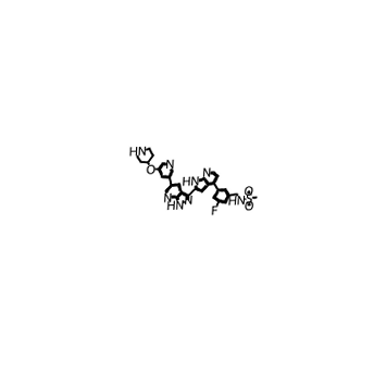 CS(=O)(=O)NCc1cc(F)cc(-c2ccnc3[nH]c(-c4n[nH]c5ncc(-c6cncc(OC7CCNCC7)c6)cc45)cc23)c1